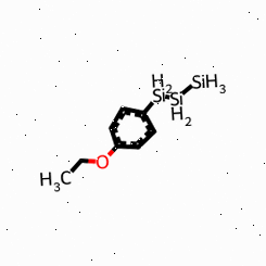 CCOc1ccc([SiH2][SiH2][SiH3])cc1